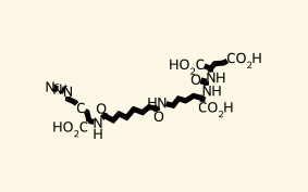 [N-]=[N+]=NCCCCC(NC(=O)CCCCCCC(=O)NCCCCC(NC(=O)NC(CCC(=O)O)C(=O)O)C(=O)O)C(=O)O